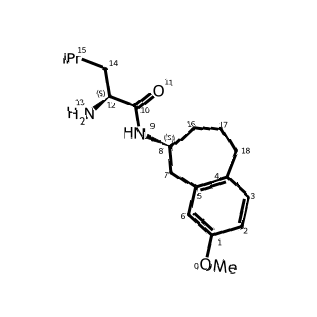 COc1ccc2c(c1)C[C@@H](NC(=O)[C@@H](N)CC(C)C)CCC2